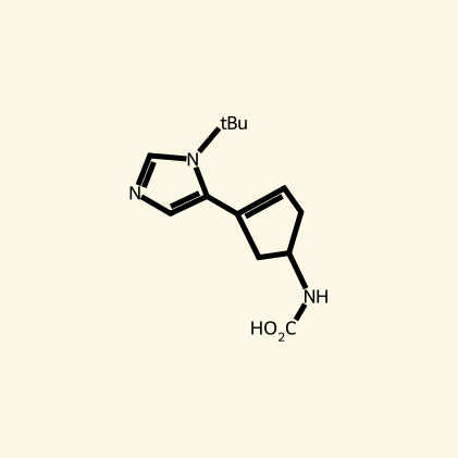 CC(C)(C)n1cncc1C1=CCC(NC(=O)O)C1